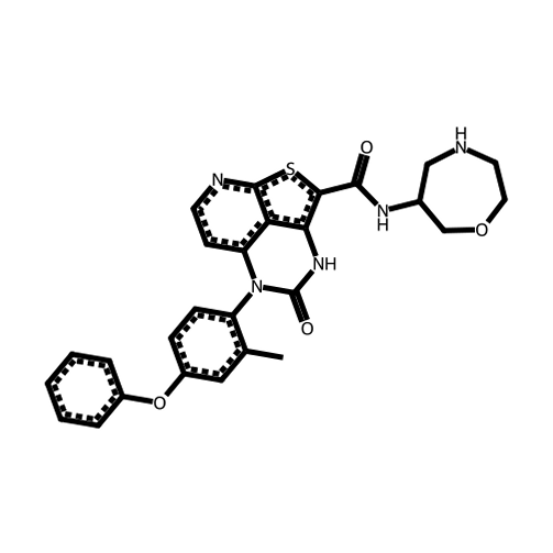 Cc1cc(Oc2ccccc2)ccc1N1C(=O)Nc2c(C(=O)NC3CNCCOC3)sc3nccc1c23